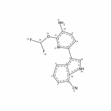 N#Cc1cccc2c(-c3ccc(N)c(OC(F)F)n3)c[nH]c12